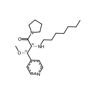 CCCCCCCN[C@@H](C(=O)N1CCCC1)[C@@H](OC)c1ccncc1